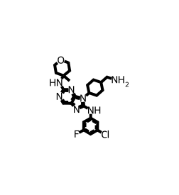 CC1(Nc2ncc3nc(Nc4cc(F)cc(Cl)c4)n(C4CCC(CN)CC4)c3n2)CCOCC1